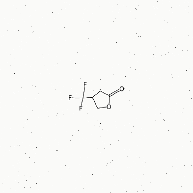 O=C1[CH]C(C(F)(F)F)CO1